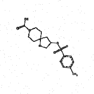 Cc1ccc(S(=O)(=O)OC2COC3(CCN(C(=O)O)CC3)C2)cc1